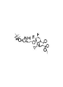 CCOC(=O)c1cn(C2CC2)c2c(OCC[C@H]3C[C@@H](O[Si](C)(C)C(C)(C)C)CN3)c(F)c(F)cc2c1=O